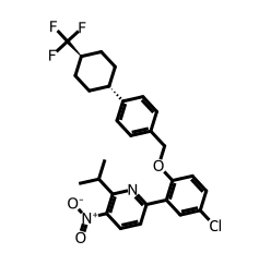 CC(C)c1nc(-c2cc(Cl)ccc2OCc2ccc([C@H]3CC[C@H](C(F)(F)F)CC3)cc2)ccc1[N+](=O)[O-]